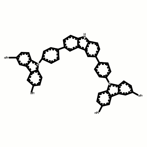 CCCc1ccc2c(c1)c1cc(CCC)ccc1n2-c1ccc(-c2ccc3[nH]c4ccc(-c5ccc(-n6c7ccc(CCC)cc7c7cc(CCC)ccc76)cc5)cc4c3c2)cc1